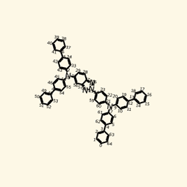 c1ccc(-c2ccc(N(c3ccc(-c4ccccc4)cc3)c3ccc(-n4nc5ccc(N(c6ccc(-c7ccccc7)cc6)c6ccc(-c7ccccc7)cc6)cc5n4)cc3)cc2)cc1